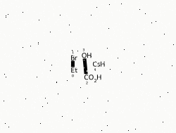 CCBr.O=C(O)O.[CsH]